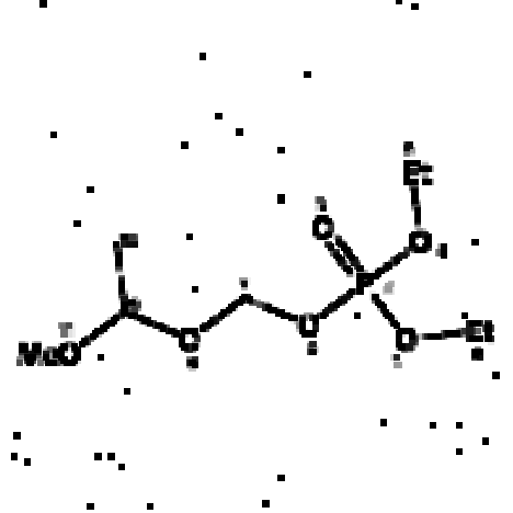 CCOP(=O)(OCC)OCOC(C)OC